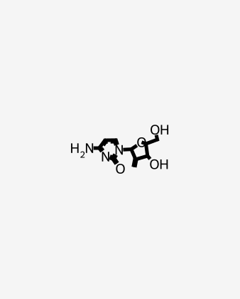 C=C1C(O)C(CO)OC1n1ccc(N)nc1=O